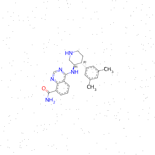 Cc1cc(C)cc([C@H]2CCNC[C@@H]2Nc2ncnc3c(C(N)=O)cccc23)c1